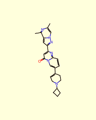 Cc1cn2nc(-c3cc(=O)n4cc(C5=CCN(C6CCC6)CC5)ccc4n3)cc2c(C)n1